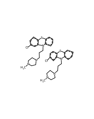 CN1CCN(CCCN2c3ccccc3Sc3ccc(Cl)cc32)CC1.CN1CCN(CCCN2c3ccccc3Sc3ccc(Cl)cc32)CC1